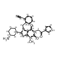 Cn1c(=O)n(CC(=O)c2ccsc2)c(=O)c2c1nc(N1CCC[C@@H](N)C1)n2Cc1ccccc1C#N